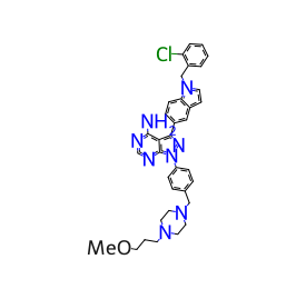 COCCCN1CCN(Cc2ccc(-n3nc(-c4ccc5c(ccn5Cc5ccccc5Cl)c4)c4c(N)ncnc43)cc2)CC1